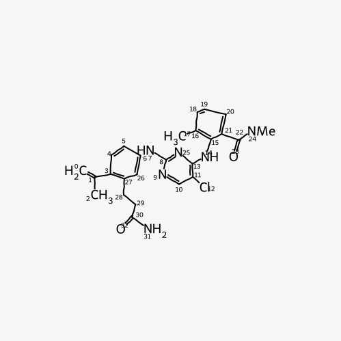 C=C(C)c1ccc(Nc2ncc(Cl)c(Nc3c(C)cccc3C(=O)NC)n2)cc1CCC(N)=O